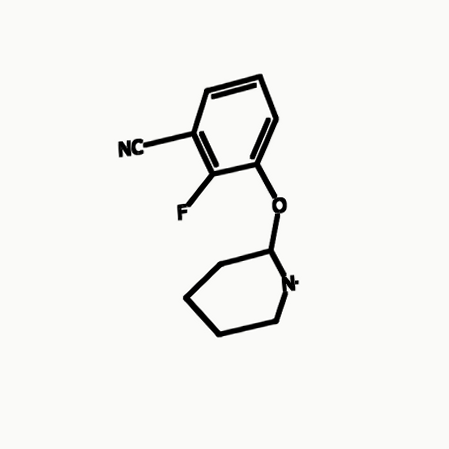 N#Cc1cccc(OC2CCCC[N]2)c1F